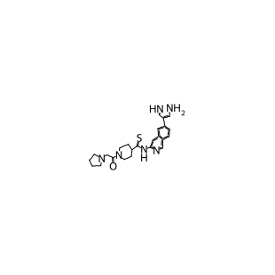 N=C/C(=C\N)c1ccc2cnc(NC(=S)C3CCN(C(=O)CN4CCCC4)CC3)cc2c1